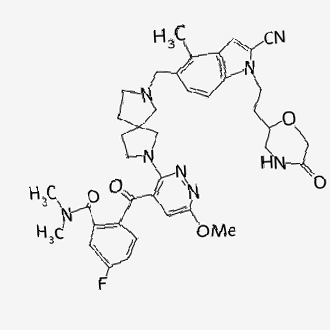 COc1cc(C(=O)c2ccc(F)cc2C(=O)N(C)C)c(N2CCC3(CCN(Cc4ccc5c(cc(C#N)n5CCC5CNC(=O)CO5)c4C)C3)C2)nn1